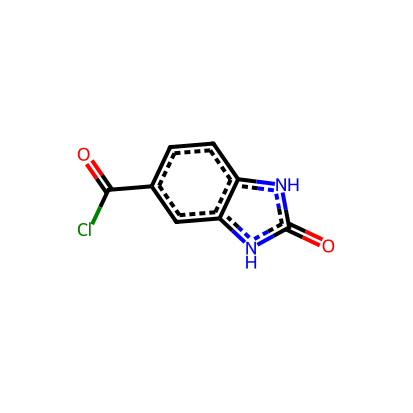 O=C(Cl)c1ccc2[nH]c(=O)[nH]c2c1